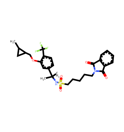 CC1CC1COc1cc(C(C)(C)NS(=O)(=O)CCCCCN2C(=O)c3ccccc3C2=O)ccc1C(F)(F)F